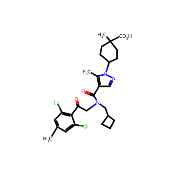 Cc1cc(Cl)c(C(=O)CN(CC2CCC2)C(=O)c2cnn(C3CCC(C)(C(=O)O)CC3)c2C(F)(F)F)c(Cl)c1